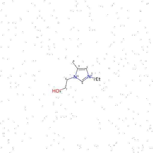 CC[n+]1cc(C)n(CCO)c1